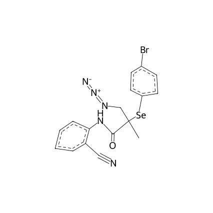 CC(CN=[N+]=[N-])([Se]c1ccc(Br)cc1)C(=O)Nc1ccccc1C#N